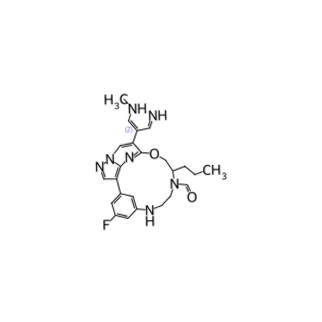 CCCC1COc2nc3c(cnn3cc2/C(C=N)=C/NC)-c2cc(F)cc(c2)NCCN1C=O